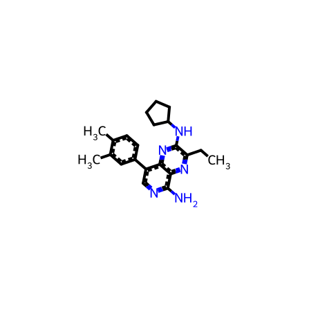 CCc1nc2c(N)ncc(-c3ccc(C)c(C)c3)c2nc1NC1CCCC1